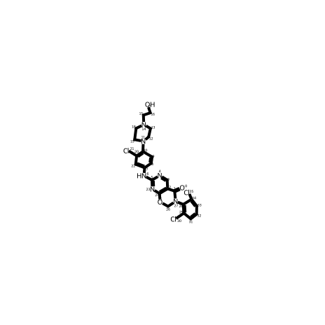 O=C1c2cnc(Nc3ccc(N4CCN(CCO)CC4)c(Cl)c3)nc2OCN1c1c(Cl)cccc1Cl